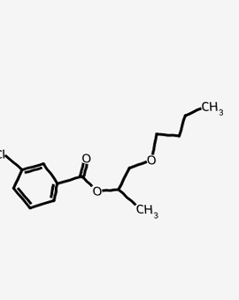 CCCCOCC(C)OC(=O)c1cccc(Cl)c1